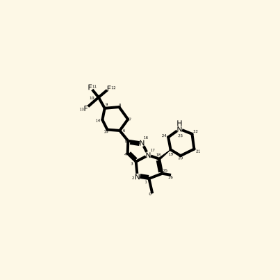 Cc1nc2cc(C3CCC(C(F)(F)F)CC3)nn2c([C@@H]2CCCNC2)c1C